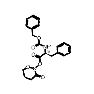 O=C(N[C@@H](Cc1ccccc1)C(=O)ON1OCCCC1=O)OCc1ccccc1